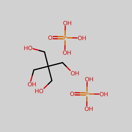 O=P(O)(O)O.O=P(O)(O)O.OCC(CO)(CO)CO